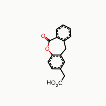 O=C(O)Cc1ccc2c(c1)Cc1ccccc1C(=O)O2